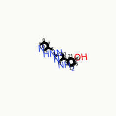 Nc1nc(NCc2cccnc2)ncc1-c1cccc(O)c1